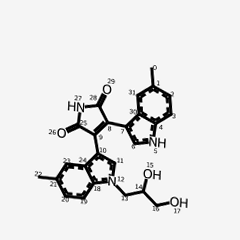 Cc1ccc2[nH]cc(C3=C(c4cn(CC(O)CO)c5ccc(C)cc45)C(=O)NC3=O)c2c1